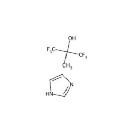 CC(O)(C(F)(F)F)C(F)(F)F.c1c[nH]cn1